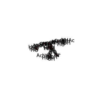 CC(=O)NC1C(OCCOCCOCCN2C=C(COCC(COCCOCCOCCOCCN=[N+]=[N-])(COCC3=CN(CCOCCOCCOC4OC(CO)C(O)C(O)C4NC(C)=O)NN3)COCC3=CN(CCOCCOCCOC4OC(CO)C(O)C(O)C4NC(C)=O)NN3)NN2)OC(CO)C(O)C1O